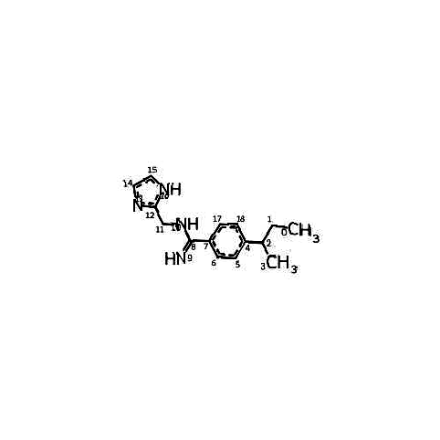 CCC(C)c1ccc(C(=N)NCc2ncc[nH]2)cc1